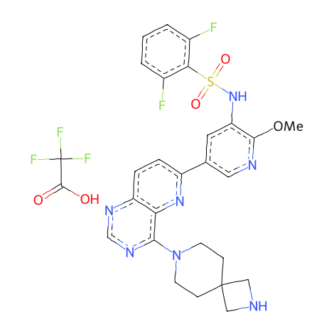 COc1ncc(-c2ccc3ncnc(N4CCC5(CC4)CNC5)c3n2)cc1NS(=O)(=O)c1c(F)cccc1F.O=C(O)C(F)(F)F